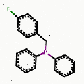 Fc1ccc(CP(c2ccccc2)c2ccccc2)cc1